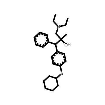 CCN(CC)CC(C)(O)C(c1ccccc1)c1ccc(SC2CCCCC2)cc1